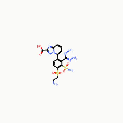 NCCS(=O)(=O)c1ccc(-c2cccc3nc(C(=O)O)nn23)c(/C(=N/N)NN)c1S(N)(=O)=O